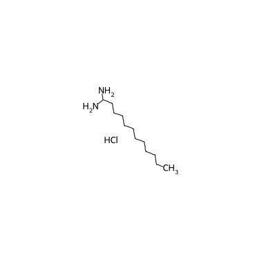 CCCCCCCCCCCC(N)N.Cl